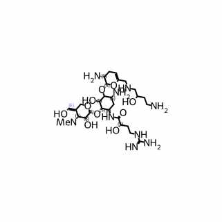 CN[C@H]1/C(=C\O)CO[C@H](O[C@H]2[C@H](NC(=O)[C@@H](O)CCNC(=N)N)C[C@H](N)C(O[C@H]3OC(CNCC(O)CCN)=CC[C@H]3N)[C@@H]2O)[C@@H]1O